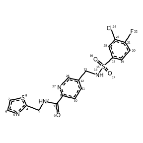 O=C(NCc1nccs1)c1ccc(CNS(=O)(=O)c2ccc(F)c(Cl)c2)cn1